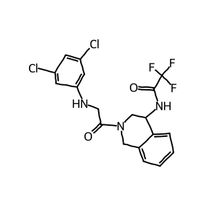 O=C(CNc1cc(Cl)cc(Cl)c1)N1Cc2ccccc2C(NC(=O)C(F)(F)F)C1